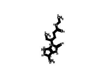 CCOC(=O)CCC(CC)n1c2c(sc1=S)C(N)SN2